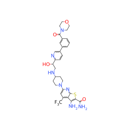 NC(=O)c1sc2nc(N3CCC(NCC(O)c4ccc(-c5cccc(C(=O)N6CCOCC6)c5)cn4)CC3)cc(C(F)(F)F)c2c1N